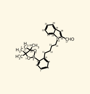 CC1(C)OB(c2ccccc2CCCCn2c(C=O)cc3ccccc32)OC1(C)C